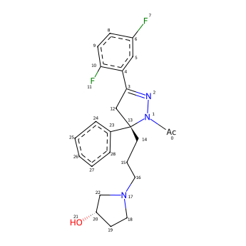 CC(=O)N1N=C(c2cc(F)ccc2F)C[C@@]1(CCCN1CC[C@H](O)C1)c1ccccc1